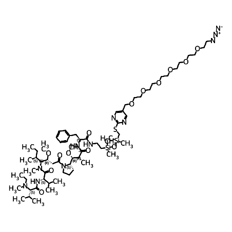 CC[C@H](C)[C@@H]([C@@H](CC(=O)N1CCC[C@H]1[C@H](OC)[C@@H](C)C(=O)N[C@@H](Cc1ccccc1)C(=O)NCC[Si](C)(C)O[Si](C)(C)CSc1ncc(COCCOCCOCCOCCOCCOCCN=[N+]=[N-])cn1)OC)N(C)C(=O)[C@@H](NC(=O)[C@H](C(C)C)N(C)CC)C(C)C